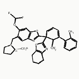 Cc1ccccc1C1=CC=CC(c2nc3c(o2)CCCC3)(c2nc3cc(CN4CCC[C@H]4C(=O)O)c(OC(F)F)cc3o2)C1C